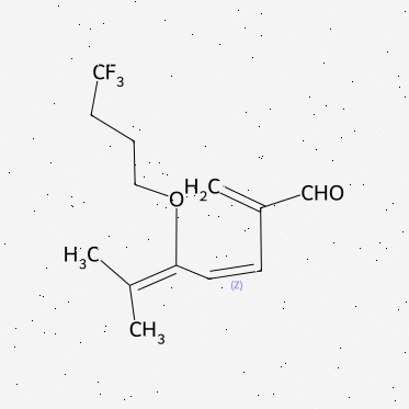 C=C(C=O)/C=C\C(OCCCC(F)(F)F)=C(C)C